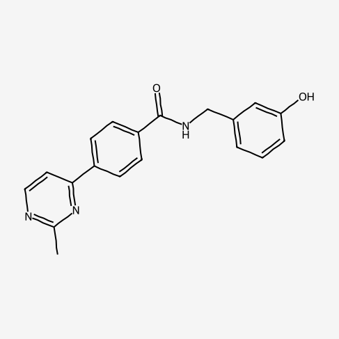 Cc1nccc(-c2ccc(C(=O)NCc3cccc(O)c3)cc2)n1